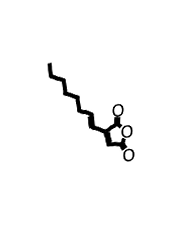 CCCCCCC=CC1=CC(=O)OC1=O